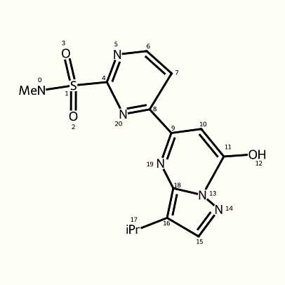 CNS(=O)(=O)c1nccc(-c2cc(O)n3ncc(C(C)C)c3n2)n1